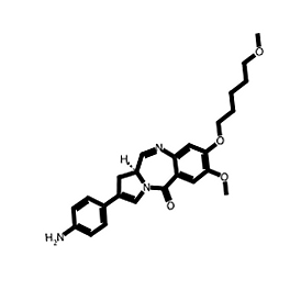 COCCCCCOc1cc2c(cc1OC)C(=O)N1C=C(c3ccc(N)cc3)C[C@H]1C=N2